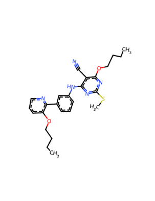 CCCCOc1cccnc1-c1cccc(Nc2nc(SC)nc(OCCCC)c2C#N)c1